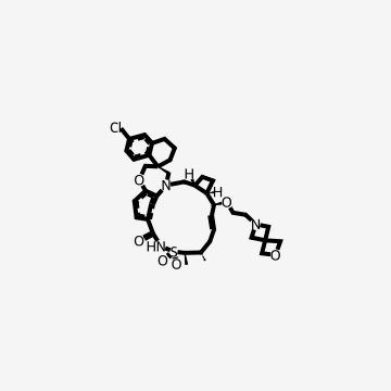 C[C@@H]1[C@@H](C)C/C=C/[C@H](OCCN2CC3(COC3)C2)[C@@H]2CC[C@H]2CN2C[C@@]3(CCCc4cc(Cl)ccc43)COc3ccc(cc32)C(=O)NS1(=O)=O